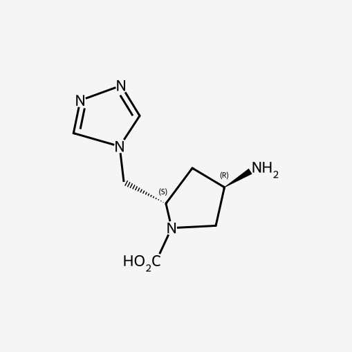 N[C@@H]1C[C@@H](Cn2cnnc2)N(C(=O)O)C1